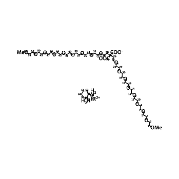 COCCOCCOCCOCCOCCOCCOCCOCCOCCC(CCOCCOCCOCCOCCOCCOCCOCCOCCOC)(C(=O)[O-])C(=O)[O-].N[C@@H]1CCCC[C@H]1N.[Pt+2]